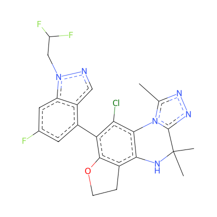 Cc1nnc2n1-c1c(Cl)c(-c3cc(F)cc4c3cnn4CC(F)F)c3c(c1NC2(C)C)CCO3